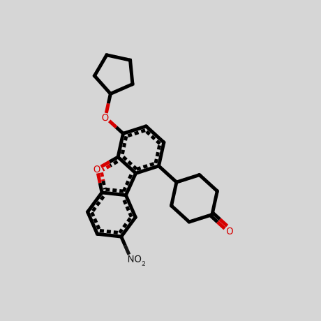 O=C1CCC(c2ccc(OC3CCCC3)c3oc4ccc([N+](=O)[O-])cc4c23)CC1